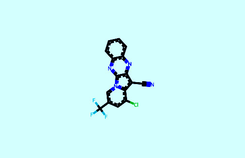 N#Cc1c2nc3ccccc3nc2n2cc(C(F)(F)F)cc(Cl)c12